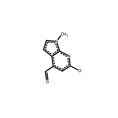 Cn1ccc2c(C=O)cc(Cl)nc21